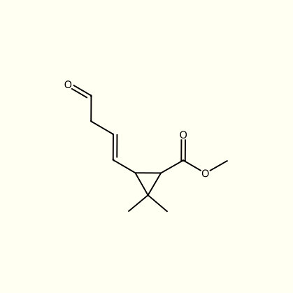 COC(=O)C1C(C=CCC=O)C1(C)C